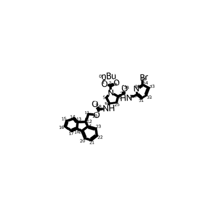 CCCCOC(=O)N1CC(NC(=O)OCC2c3ccccc3-c3ccccc32)CC1C(=O)Nc1cccc(Br)n1